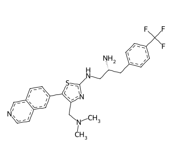 CN(C)Cc1nc(NC[C@H](N)Cc2ccc(C(F)(F)F)cc2)sc1-c1ccc2cnccc2c1